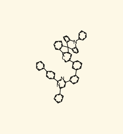 c1ccc(-c2ccc(-c3nc(-c4ccccc4)cc(-c4cccc(-c5cccc(-c6ccc7c(c6)C6(c8ccccc8-7)c7ccccc7N(c7ccccc7)c7ccccc76)c5)c4)n3)cc2)cc1